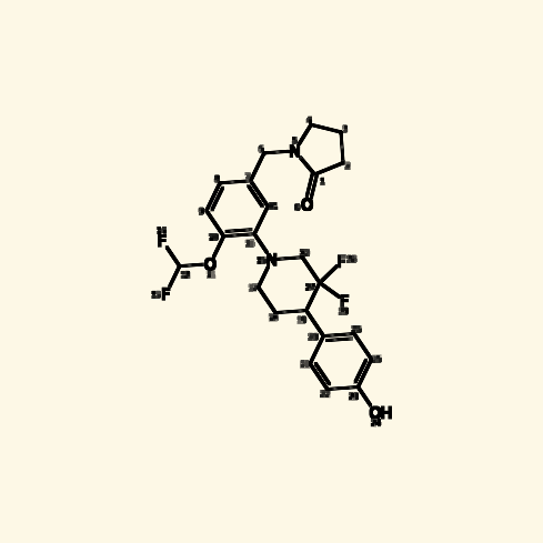 O=C1CCCN1Cc1ccc(OC(F)F)c(N2CCC(c3ccc(O)cc3)C(F)(F)C2)c1